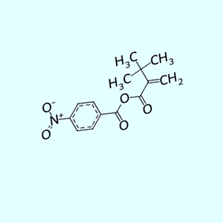 C=C(C(=O)OC(=O)c1ccc([N+](=O)[O-])cc1)C(C)(C)C